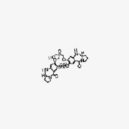 COc1cc2c(cc1OCP(=O)(CO)COc1cc3c(cc1OC)C(=O)N1CCC[C@H]1CN3)NC[C@@H]1CCCN1C2=O